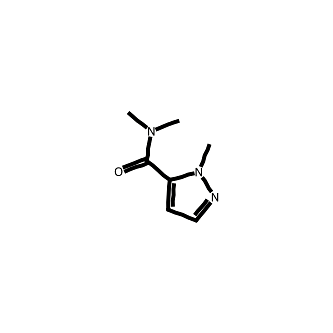 CN(C)C(=O)c1ccnn1C